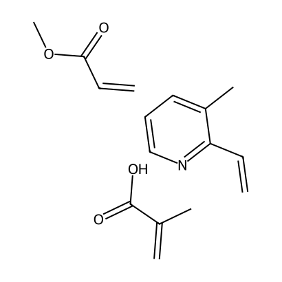 C=C(C)C(=O)O.C=CC(=O)OC.C=Cc1ncccc1C